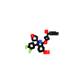 COC(=O)[C@H]1C[C@H](Oc2nc(C3CCOCC3)c(-c3ccc(F)c(F)c3)c3ccc(O)cc23)C1